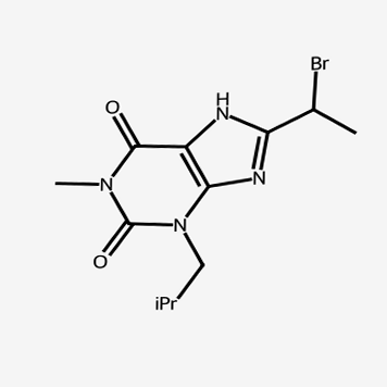 CC(C)Cn1c(=O)n(C)c(=O)c2[nH]c(C(C)Br)nc21